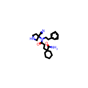 N#CC1(N(CCc2ccccc2)C(=O)[CH]CC2(C(N)=O)CCCCC2)CCNC1